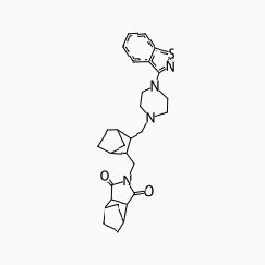 O=C1C2C3CCC(C3)C2C(=O)N1CC1C2CCC(C2)C1CN1CCN(c2nsc3ccccc23)CC1